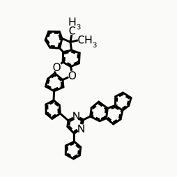 CC1(C)c2ccccc2-c2c1ccc1c2Oc2ccc(-c3cccc(-c4cc(-c5ccccc5)nc(-c5ccc6c(ccc7ccccc76)c5)n4)c3)cc2O1